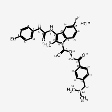 CCc1ccc(NC(=O)Nc2c(C)n(C(=O)OOC(=O)c3ccc(CN(C)C)cc3)c3ccc(F)cc23)cc1.Cl